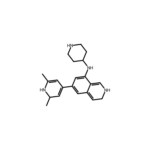 CC1=CC(c2cc(NC3CCNCC3)c3c(c2)=CCNC=3)=CC(C)N1